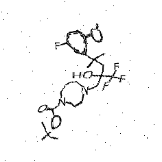 COc1ccc(F)cc1C(C)(C)CC(O)(CN1CCCN(C(=O)OC(C)(C)C)CC1)C(F)(F)F